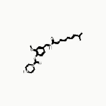 COc1cc(CNC(=O)CCCC/C=C/C(C)C)ccc1OC(=O)N1CCNCC1